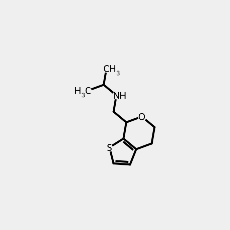 CC(C)NCC1OCCc2ccsc21